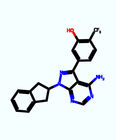 Nc1ncnc2c1c(-c1ccc(C(F)(F)F)c(O)c1)nn2C1Cc2ccccc2C1